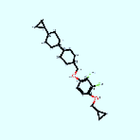 Fc1c(OCC2CC2)ccc(OCC2CCC(C3CCC(C4CC4)CC3)CC2)c1F